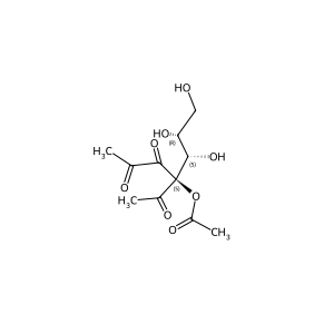 CC(=O)O[C@@](C(C)=O)(C(=O)C(C)=O)[C@@H](O)[C@H](O)CO